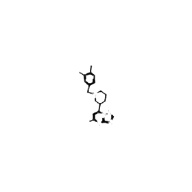 Cc1cc(C2CCCN(Cc3ccc(C)c(C)c3)C2)n2ncnc2n1